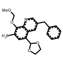 Bc1cc(C2OCCO2)c2cc(Cc3ccccc3)cnc2c1OCOC